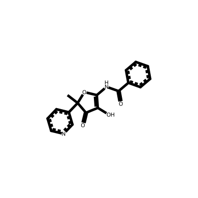 CC1(c2cccnc2)OC(NC(=O)c2ccccc2)=C(O)C1=O